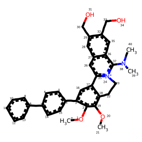 COc1c(-c2ccc(-c3ccccc3)cc2)cc2c(c1OC)CC[n+]1c-2cc2cc(CO)c(CO)cc2c1N(C)C